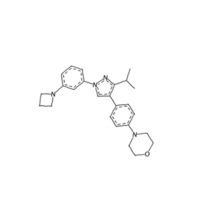 CC(C)c1nn(-c2cccc(N3CCC3)c2)cc1-c1ccc(N2CCOCC2)cc1